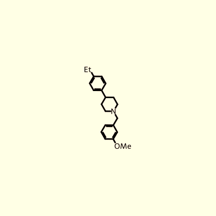 CCc1ccc(C2CCN(Cc3cccc(OC)c3)CC2)cc1